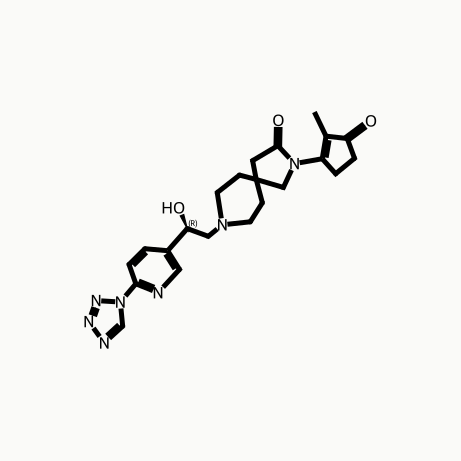 CC1=C(N2CC3(CCN(C[C@H](O)c4ccc(-n5cnnn5)nc4)CC3)CC2=O)CCC1=O